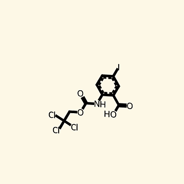 O=C(Nc1ccc(I)cc1C(=O)O)OCC(Cl)(Cl)Cl